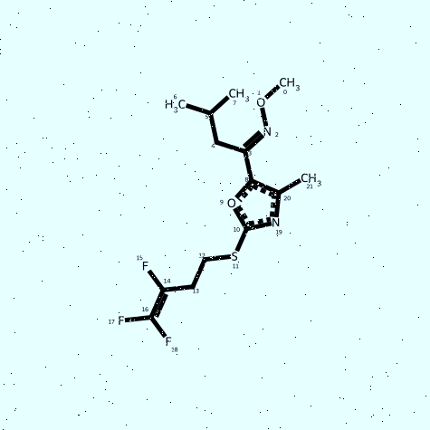 CON=C(CC(C)C)c1oc(SCCC(F)=C(F)F)nc1C